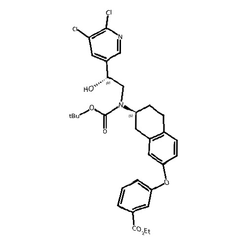 CCOC(=O)c1cccc(Oc2ccc3c(c2)C[C@@H](N(C[C@H](O)c2cnc(Cl)c(Cl)c2)C(=O)OC(C)(C)C)CC3)c1